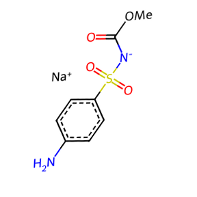 COC(=O)[N-]S(=O)(=O)c1ccc(N)cc1.[Na+]